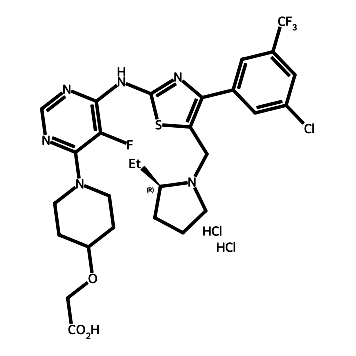 CC[C@@H]1CCCN1Cc1sc(Nc2ncnc(N3CCC(OCC(=O)O)CC3)c2F)nc1-c1cc(Cl)cc(C(F)(F)F)c1.Cl.Cl